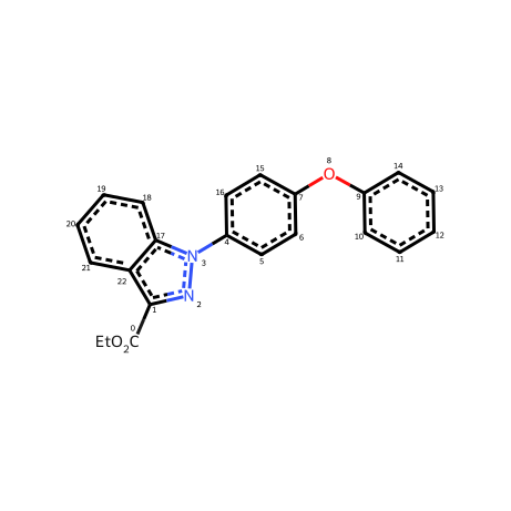 CCOC(=O)c1nn(-c2ccc(Oc3ccccc3)cc2)c2ccccc12